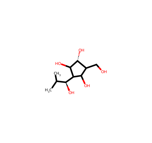 CC(C)[C@H](O)C1C(O)C(CO)[C@@H](O)C1O